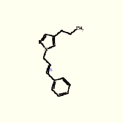 CCCc1cnn(C/C=C/c2ccccc2)c1